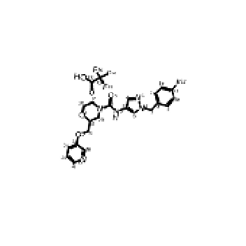 O=C(Nc1cnn(Cc2ccc(F)cc2)c1)N1CCOC(COc2cccnc2)C1.O=C(O)C(F)(F)F